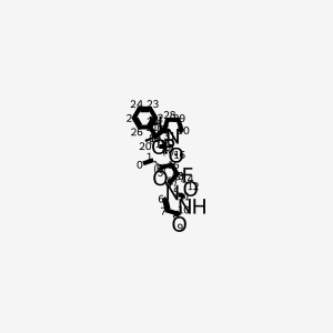 CC[C@H]1O[C@@H](n2ccc(=O)[nH]c2=O)[C@@H](F)C1O[P@@]1O[C@](C)(c2ccccc2)[C@@H]2CCCN21